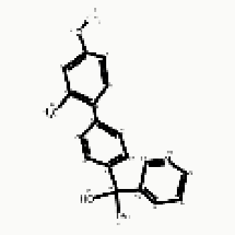 Cc1cc(OC(F)(F)F)ccc1-c1ccc(C(O)(c2cccnc2)C(C)(C)C)cc1